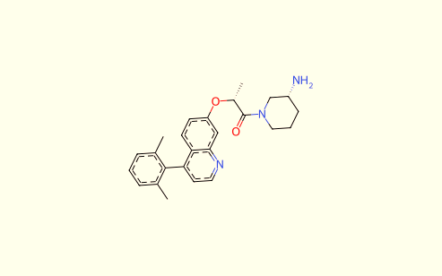 Cc1cccc(C)c1-c1ccnc2cc(O[C@H](C)C(=O)N3CCC[C@@H](N)C3)ccc12